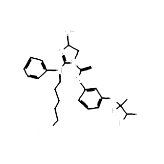 CCCCCCN(C1=NC(C)CN1C(=S)Nc1cccc(OC(F)(F)C(F)F)c1)c1ccccc1